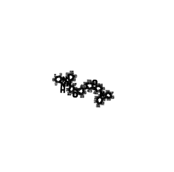 c1ccc2c(c1)NC1N(c3ccc4oc5ccc(-c6ccc7oc8ccc(-n9c%10ccccc%10c%10ccccc%109)cc8c7c6)cc5c4c3)c3ccccc3N21